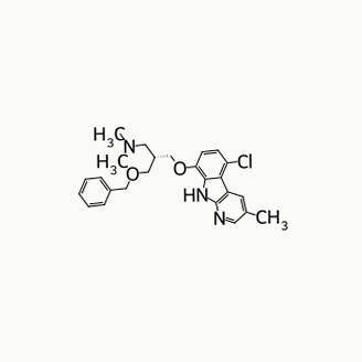 Cc1cnc2[nH]c3c(OC[C@H](COCc4ccccc4)CN(C)C)ccc(Cl)c3c2c1